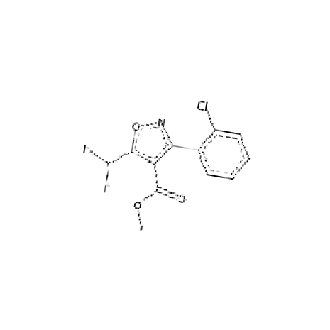 COC(=O)c1c(-c2ccccc2Cl)noc1C(F)F